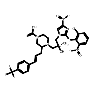 C[C@](O)(CN1CCN(C(=O)O)CC1CC=Cc1ccc(C(F)(F)F)cc1)Cn1cc([N+](=O)[O-])nc1Sc1c(Cl)cccc1[N+](=O)[O-]